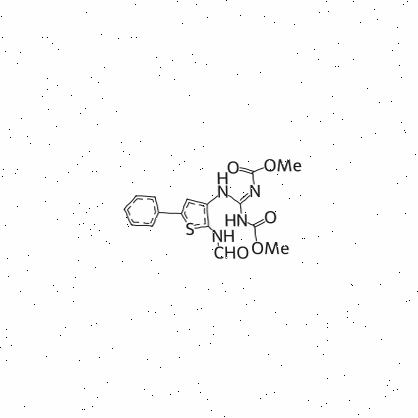 COC(=O)N=C(NC(=O)OC)Nc1cc(-c2ccccc2)sc1NC=O